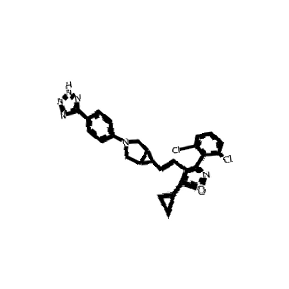 Clc1cccc(Cl)c1-c1noc(C2CC2)c1/C=C/C1C2CN(c3ccc(-c4nn[nH]n4)cc3)CC12